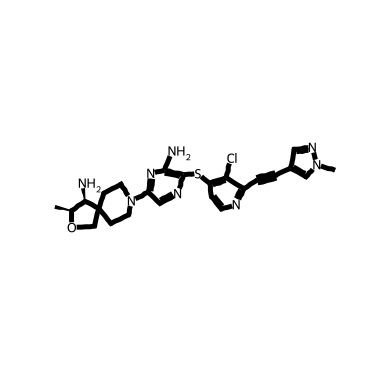 C[C@@H]1OCC2(CCN(c3cnc(Sc4ccnc(C#Cc5cnn(C)c5)c4Cl)c(N)n3)CC2)[C@@H]1N